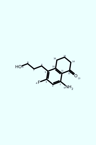 Nc1cc(F)c(CCCO)c2c1C(=O)CCC2